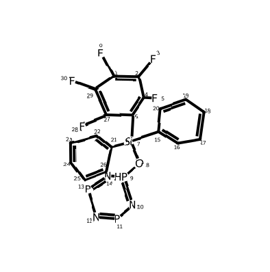 Fc1c(F)c(F)c([Si](O[PH]2=NP=NP=N2)(c2ccccc2)c2ccccc2)c(F)c1F